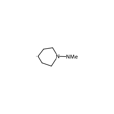 CNN1CC[CH]CC1